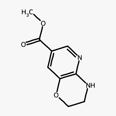 COC(=O)c1cnc2c(c1)OCCN2